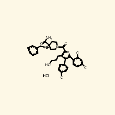 Cl.NC(=O)C1(NCc2ccccc2)CCN(C(=O)c2sc(-c3ccc(Cl)cc3Cl)c(-c3ccc(Cl)cc3)c2CCCO)CC1